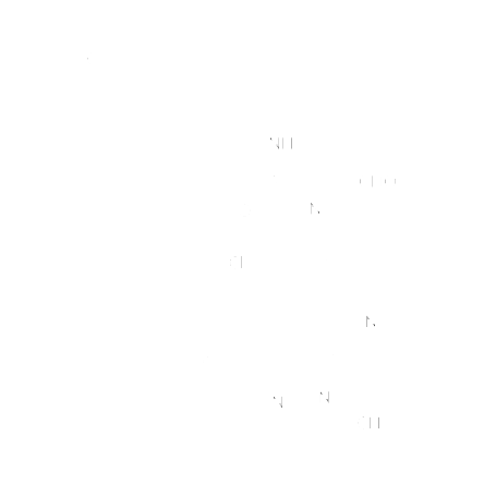 Cc1nn(C)c2ncc(N(C=O)C(=O)Nc3ccc(Cl)cc3)c(Cl)c12